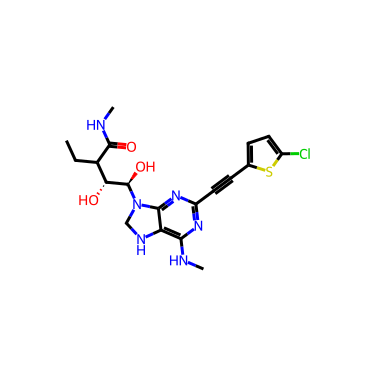 CCC(C(=O)NC)[C@@H](O)[C@@H](O)N1CNc2c(NC)nc(C#Cc3ccc(Cl)s3)nc21